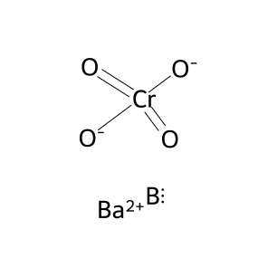 [B].[Ba+2].[O]=[Cr](=[O])([O-])[O-]